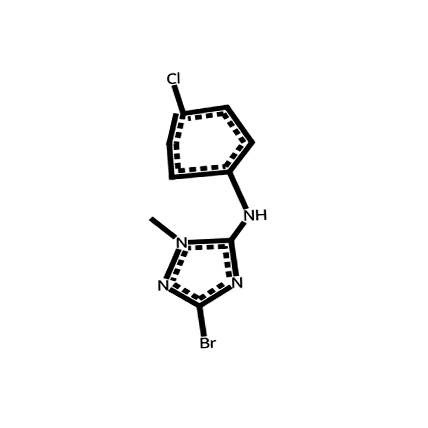 Cn1nc(Br)nc1Nc1ccc(Cl)cc1